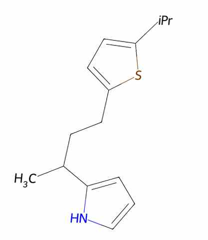 CC(C)c1ccc(CCC(C)c2ccc[nH]2)s1